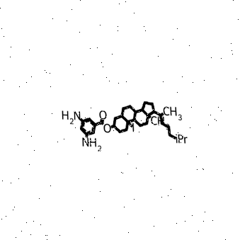 CC(C)CCCC(C)C1CCC2C3CCC4CC(OC(=O)c5cc(N)cc(N)c5)CCC4(I)C3CCC12C